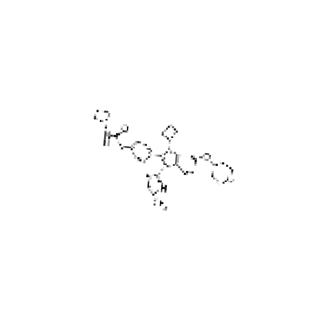 O=C(Nc1ccc(-c2c(-c3nc(C(F)(F)F)cs3)c3ccc(OC4CCOCC4)cc3n2C2CCC2)cc1)NC1CCC1